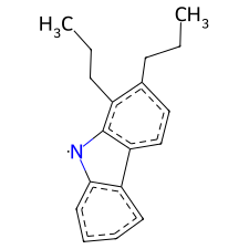 CCCc1ccc2c(c1CCC)[N]c1ccccc1-2